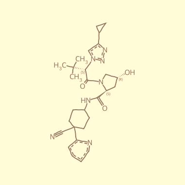 CC(C)(C)[C@@H](C(=O)N1C[C@H](O)C[C@H]1C(=O)NC1CCC(C#N)(c2ccccn2)CC1)n1cc(C2CC2)nn1